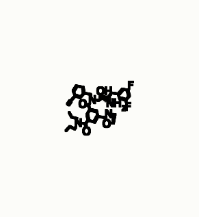 C#Cc1cccc(CN(C[C@@H](O)[C@@H](N)Cc2cc(F)cc(F)c2)C(=O)c2cc(C(=O)N(CCC)CCC)cc(-c3ncco3)c2)c1